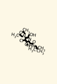 C[C@@H]1CN(c2c(CO)nc3c(C(=O)NCC(C)(C)C)noc3c2Cl)C[C@H](C)O1